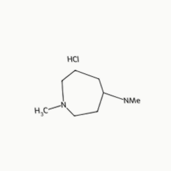 CNC1CCCN(C)CC1.Cl